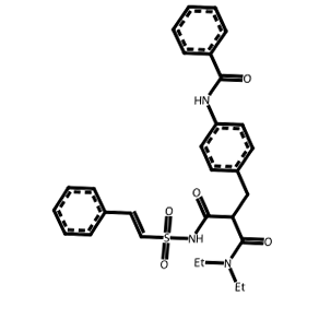 CCN(CC)C(=O)C(Cc1ccc(NC(=O)c2ccccc2)cc1)C(=O)NS(=O)(=O)C=Cc1ccccc1